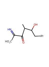 CC(C)CC(O)C(C)C(=O)C(=N)C(=O)O